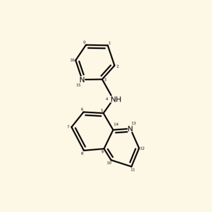 c1ccc(Nc2cccc3cccnc23)nc1